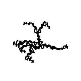 CCCCCCCCCOC(CCCCC(OCCCC)OCCCC)OC(CCCCC(OCCCC)OCCCC)OCCCCCCCCC